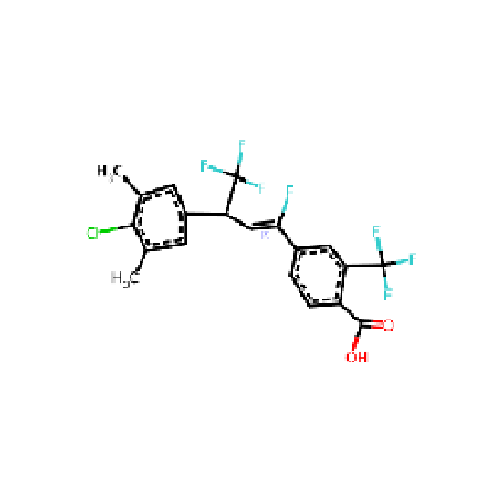 Cc1cc(C(/C=C(\F)c2ccc(C(=O)O)c(C(F)(F)F)c2)C(F)(F)F)cc(C)c1Cl